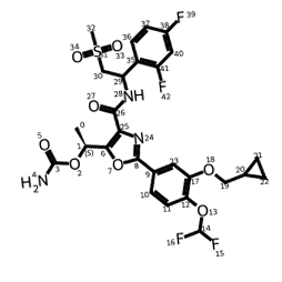 C[C@H](OC(N)=O)c1oc(-c2ccc(OC(F)F)c(OCC3CC3)c2)nc1C(=O)NC(CS(C)(=O)=O)c1ccc(F)cc1F